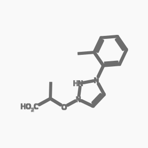 Cc1ccccc1N1C=CN(OC(C)C(=O)O)N1